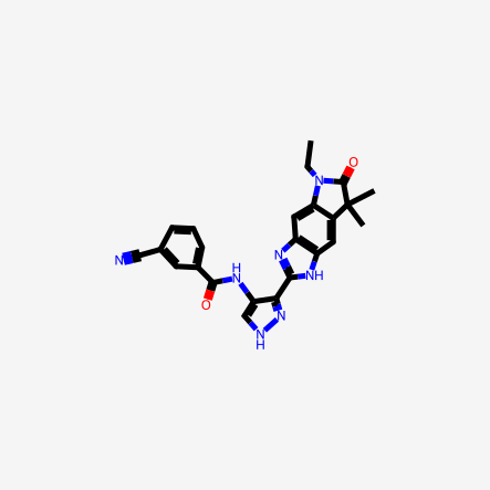 CCN1C(=O)C(C)(C)c2cc3[nH]c(-c4n[nH]cc4NC(=O)c4cccc(C#N)c4)nc3cc21